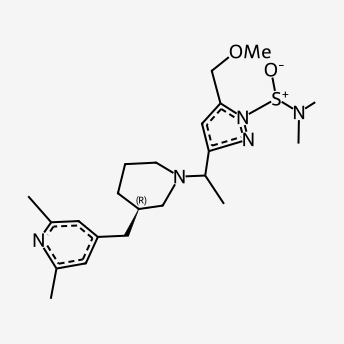 COCc1cc(C(C)N2CCC[C@H](Cc3cc(C)nc(C)c3)C2)nn1[S+]([O-])N(C)C